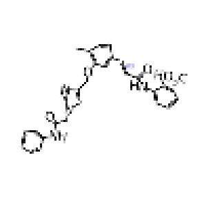 Cc1ccc(/C=C/C(=O)Nc2ccccc2C(=O)O)cc1OCc1cn(CC(=O)Nc2ccccc2)nn1